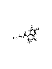 CCOC(=O)C(C#N)c1nc(Cl)c(Cl)cc1[N+](=O)[O-]